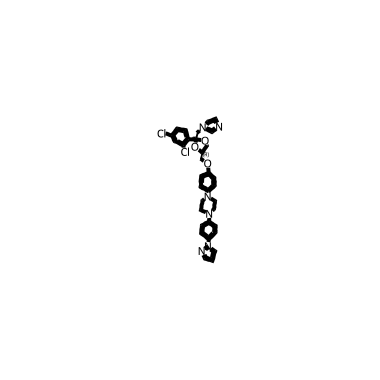 Clc1ccc([C@]2(Cn3ccnc3)OC[C@@H](COc3ccc(N4CCN(c5ccc(-n6cccn6)cc5)CC4)cc3)O2)c(Cl)c1